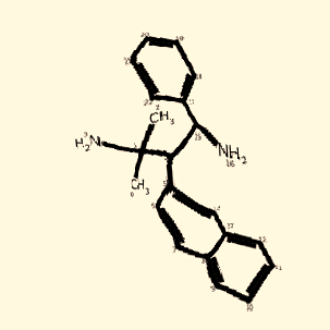 CC(C)(N)C(c1ccc2ccccc2c1)C(N)c1ccccc1